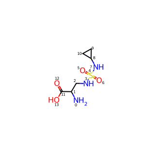 NC(CNS(=O)(=O)NC1CC1)C(=O)O